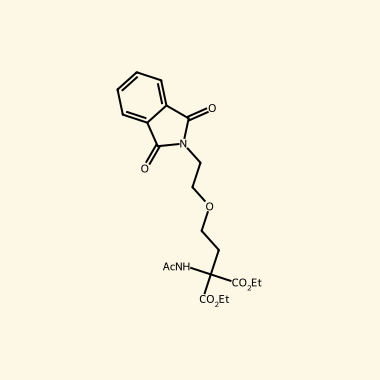 CCOC(=O)C(CCOCCN1C(=O)c2ccccc2C1=O)(NC(C)=O)C(=O)OCC